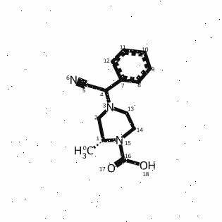 C[C@@H]1CN(C(C#N)c2ccccc2)CCN1C(=O)O